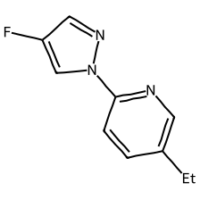 CCc1ccc(-n2cc(F)cn2)nc1